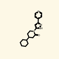 O=C1CC(C2CCCCC2)CCN1c1cc(-c2ccncc2)n[nH]1